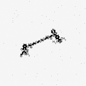 Cc1noc(C)c1-c1ccc(-c2nc3cnccn3c2NCC(=O)NCCCOCCOCCOCCCNC(=O)COc2cccc3c2C(=O)N(C(CCC=O)C(N)=O)C3=O)cc1